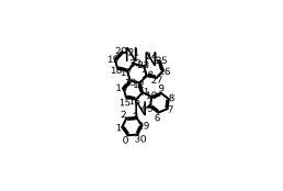 c1ccc(-n2c3ccccc3c3c4c(ccc32)c2cccnc2c2ncccc24)cc1